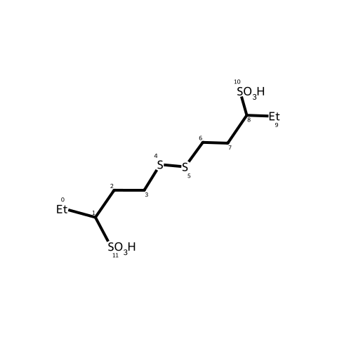 CCC(CCSSCCC(CC)S(=O)(=O)O)S(=O)(=O)O